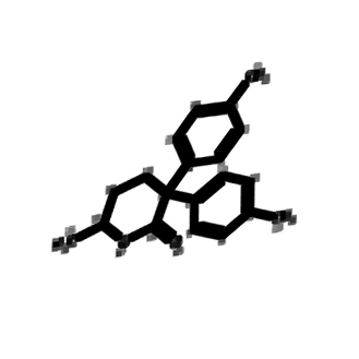 Cc1ccc(C2(c3ccc(C)cc3)CCC(C)OC2=O)cc1